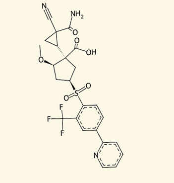 CO[C@@H]1C[C@H](S(=O)(=O)c2ccc(-c3ccccn3)cc2C(F)(F)F)C[C@@]1(C(=O)O)C1CC1(C#N)C(N)=O